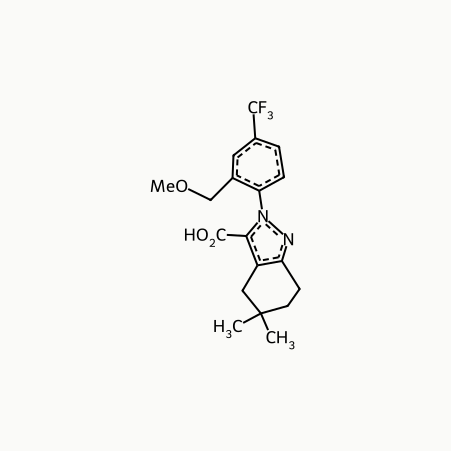 COCc1cc(C(F)(F)F)ccc1-n1nc2c(c1C(=O)O)CC(C)(C)CC2